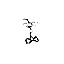 CC(C)C[C@@H](O)[C@H](NC(=O)OCC1c2ccccc2-c2ccccc21)C(=O)O